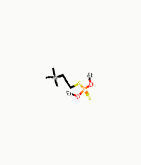 CCOP(=S)(OCC)SCC[Si](C)(C)C